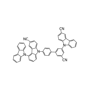 N#Cc1cc(-c2ccc(-n3c4ccc(C#N)cc4c4c(-n5c6ccccc6c6ccccc65)cccc43)cc2)cc(-n2c3ccccc3c3cc(C#N)ccc32)c1